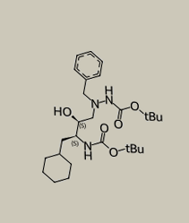 CC(C)(C)OC(=O)N[C@@H](CC1CCCCC1)[C@@H](O)CN(Cc1ccccc1)NC(=O)OC(C)(C)C